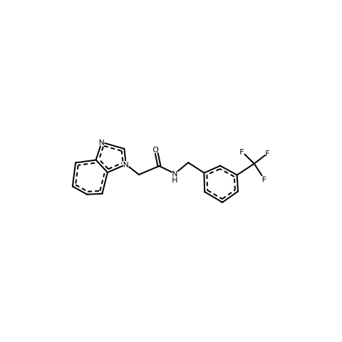 O=C(Cn1cnc2ccccc21)NCc1cccc(C(F)(F)F)c1